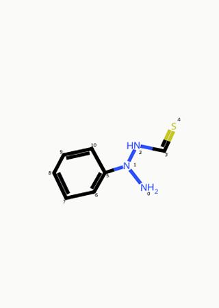 NN(NC=S)c1ccccc1